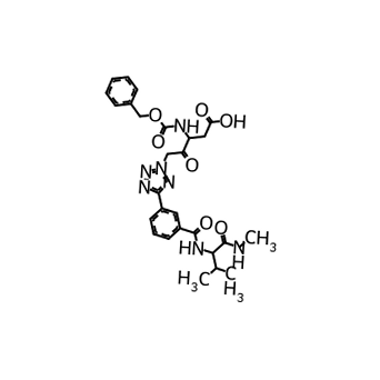 CNC(=O)C(NC(=O)c1cccc(-c2nnn(CC(=O)C(CC(=O)O)NC(=O)OCc3ccccc3)n2)c1)C(C)C